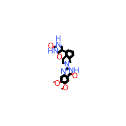 COc1cc2nc(N3CCc4c(cccc4-c4c[nH]c(=O)[nH]c4=O)C3)[nH]c(=O)c2cc1OC